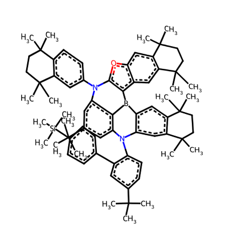 CC(C)(C)c1ccc(N2c3cc4c(cc3B3c5c2cc(C(C)(C)C)cc5N(c2ccc5c(c2)C(C)(C)CCC5(C)C)c2oc5cc6c(cc5c23)C(C)(C)CCC6(C)C)C(C)(C)CCC4(C)C)c(-c2ccc([Si](C)(C)C)cc2)c1